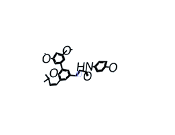 COc1ccc(NC(=O)/C=C/c2cc3c(c(-c4cc(OC)cc(OC)c4)c2)OC(C)(C)C=C3)cc1